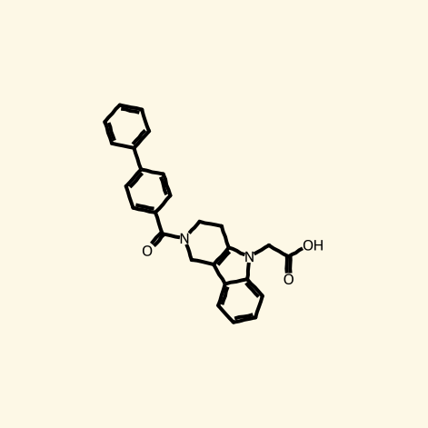 O=C(O)Cn1c2c(c3ccccc31)CN(C(=O)c1ccc(-c3ccccc3)cc1)CC2